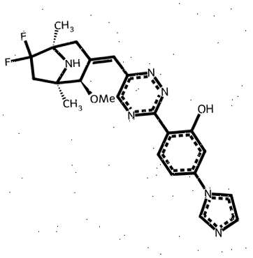 CO[C@@H]1/C(=C\c2cnc(-c3ccc(-n4ccnc4)cc3O)nn2)C[C@@]2(C)N[C@]1(C)CC2(F)F